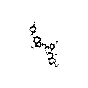 CC(=O)c1cn(CC(=O)N2C[C@H](F)C[C@H]2C(=O)Nc2cncc(Br)n2)c2ccc(Oc3ncc(F)cn3)cc12